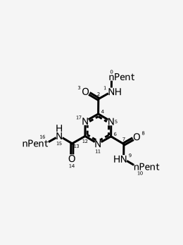 CCCCCNC(=O)c1nc(C(=O)NCCCCC)nc(C(=O)NCCCCC)n1